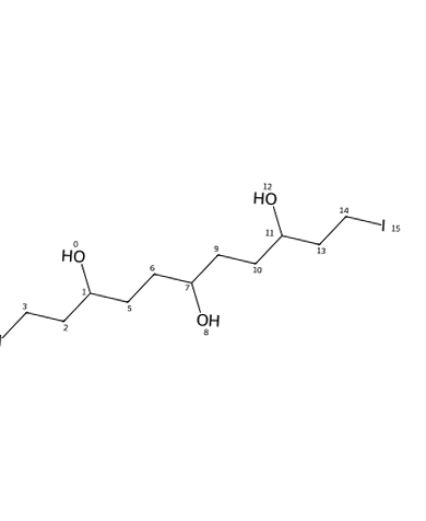 OC(CCI)CCC(O)CCC(O)CCI